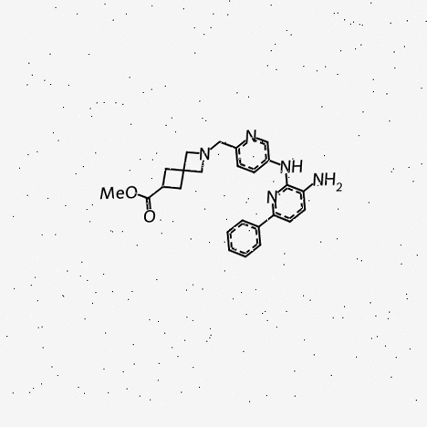 COC(=O)C1CC2(C1)CN(Cc1ccc(Nc3nc(-c4ccccc4)ccc3N)cn1)C2